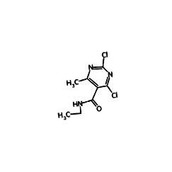 CCNC(=O)c1c(C)nc(Cl)nc1Cl